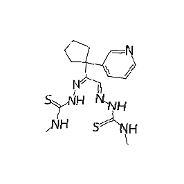 CNC(=S)N/N=C(\C=N\NC(=S)NC)C1(c2cccnc2)CCCC1